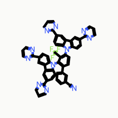 N#Cc1cccc(-c2ccc(-n3c4ccc(-c5ncccn5)cc4c4cc(-c5ncccn5)ccc43)c(C(F)(F)F)c2-n2c3ccc(-c4ncccn4)cc3c3cc(-c4ncccn4)ccc32)c1